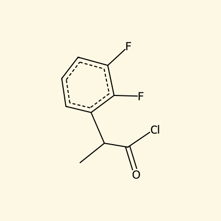 CC(C(=O)Cl)c1cccc(F)c1F